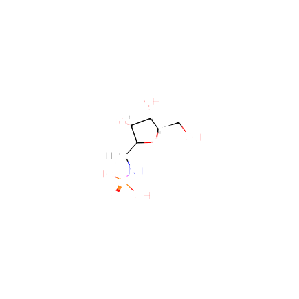 O=P(O)(O)N[SiH2]C1O[C@H](CO)[C@@H](O)[C@H]1O